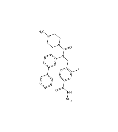 CN1CCN(C(=O)N(Cc2ccc(C(=O)NN)cc2F)c2cccc(-c3ccncc3)c2)CC1